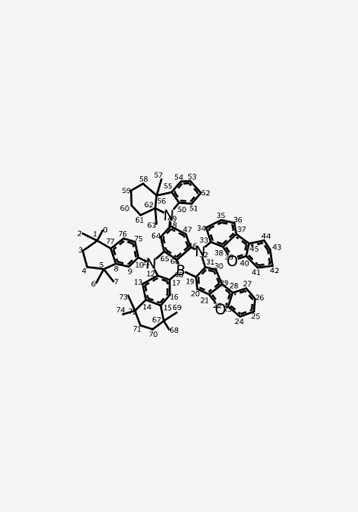 CC1(C)CCC(C)(C)c2cc(N3c4cc5c(cc4B4c6cc7oc8ccccc8c7cc6N(c6cccc7c6oc6ccccc67)c6cc(N7c8ccccc8C8(C)CCCCC78C)cc3c64)C(C)(C)CCC5(C)C)ccc21